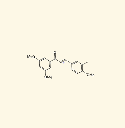 COc1cc(OC)cc(C(=O)/C=C/c2ccc(OC)c(C)c2)c1